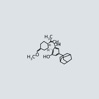 C=C(C)[C@@H]1CCC(=COC)C[C@H]1c1c(O)cc(C23CC4CC(CC(C4)C2)C3)cc1O